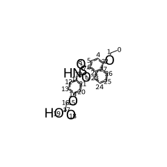 CCOc1ccc(S(=O)(=O)Nc2ccc(OCC(=O)O)cc2)c2ccccc12